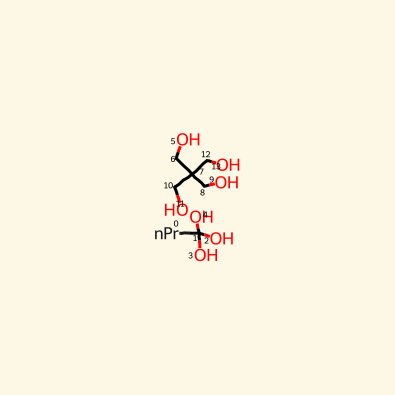 CCCC(O)(O)O.OCC(CO)(CO)CO